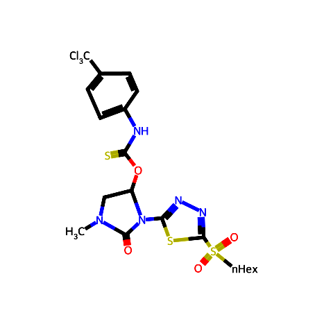 CCCCCCS(=O)(=O)c1nnc(N2C(=O)N(C)CC2OC(=S)Nc2ccc(C(Cl)(Cl)Cl)cc2)s1